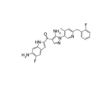 Cc1cc(Cc2ccccc2F)ncc1-n1ncc(C(=O)c2cc3cc(F)c(N)cc3[nH]2)c1N